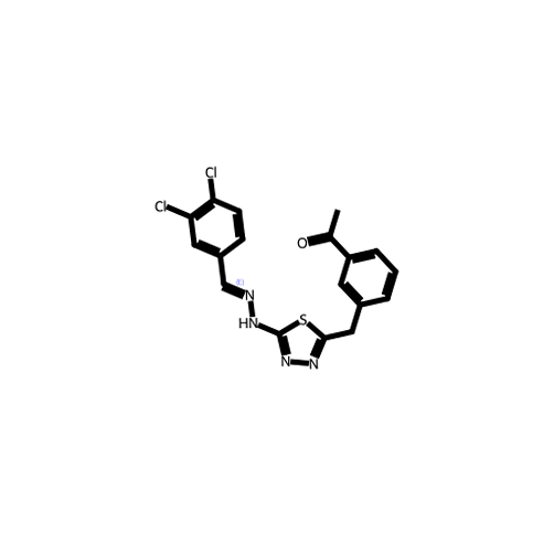 CC(=O)c1cccc(Cc2nnc(N/N=C/c3ccc(Cl)c(Cl)c3)s2)c1